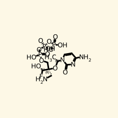 C[C@@H](O[C@](CN)(COP(=O)(O)OP(=O)(O)OP(=O)(O)O)[C@@H](O)F)n1ccc(N)nc1=O